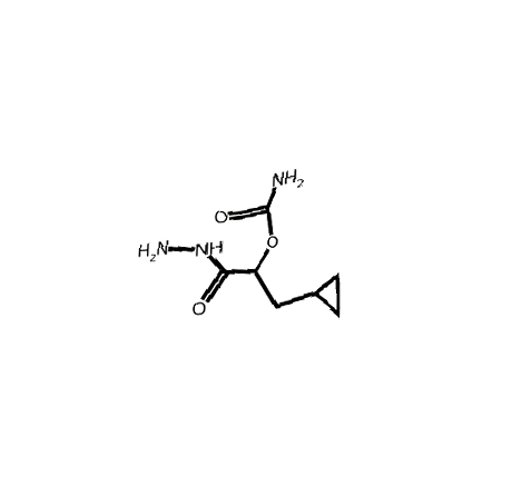 NNC(=O)C(CC1CC1)OC(N)=O